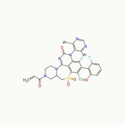 C=CC(=O)N1CCN2c3nc(=O)n(-c4c(C(C)C)ncnc4C(C)C)c4c(F)c(-c5c(O)cccc5F)c(Cl)c(c34)S(=O)(=O)CC2C1